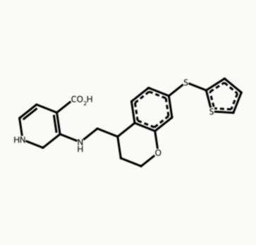 O=C(O)C1=C(NCC2CCOc3cc(Sc4cccs4)ccc32)CNC=C1